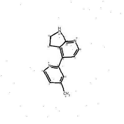 Cc1ccnc(-c2ccnc3c2CCN3)c1